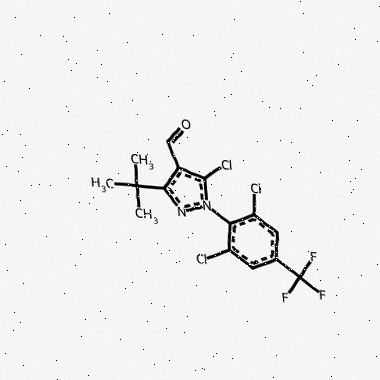 CC(C)(C)c1nn(-c2c(Cl)cc(C(F)(F)F)cc2Cl)c(Cl)c1C=O